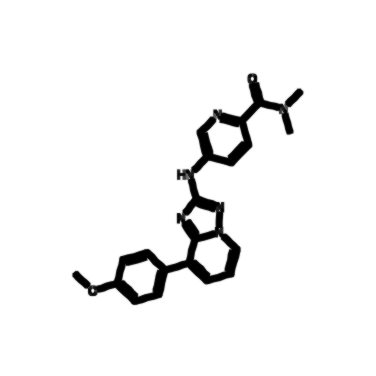 COc1ccc(-c2cccn3nc(Nc4ccc(C(=O)N(C)C)nc4)nc23)cc1